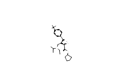 CCN(Cc1c(C(=O)NC2CCCC2)noc1-c1ccc(C(F)(F)F)cc1)C(C)C